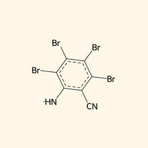 N#Cc1c([NH])c(Br)c(Br)c(Br)c1Br